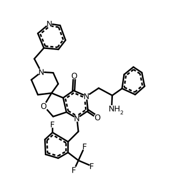 NC(Cn1c(=O)c2c(n(Cc3c(F)cccc3C(F)(F)F)c1=O)COC21CCN(Cc2cccnc2)CC1)c1ccccc1